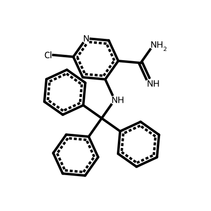 N=C(N)c1cnc(Cl)cc1NC(c1ccccc1)(c1ccccc1)c1ccccc1